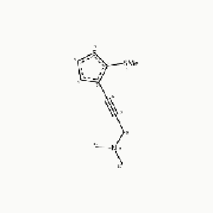 CSc1sccc1C#CCN(C)C